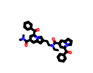 CCN(CCc1cc2cc(C(=O)N(C)C)cc(C(=O)c3ccccc3)n2c1)C(=O)c1cc(C(=O)c2ccccc2)n2cccc2c1